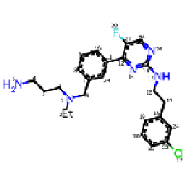 CCN(CCCN)Cc1cccc(-c2nc(NCCc3cccc(Cl)c3)ncc2F)c1